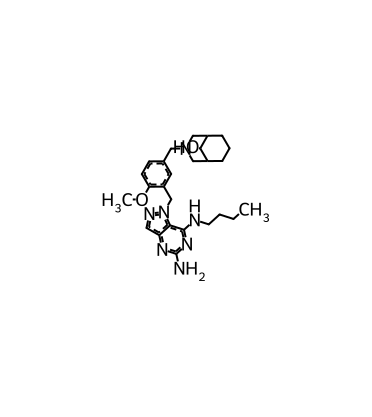 CCCCNc1nc(N)nc2cnn(Cc3cc(CN4CC5CCCC(C4)C5O)ccc3OC)c12